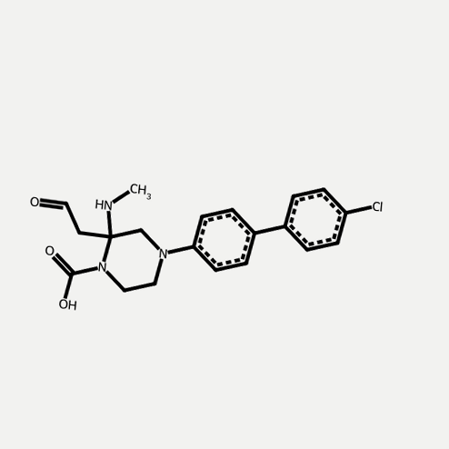 CNC1(CC=O)CN(c2ccc(-c3ccc(Cl)cc3)cc2)CCN1C(=O)O